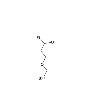 CCC([O])CCOCC(C)(C)C